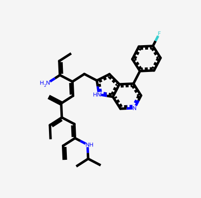 C=C/C(=C\C(=C/C)C(=C)/C=C(Cc1cc2c(-c3ccc(F)cc3)cncc2[nH]1)\C(N)=C/C)NC(C)C